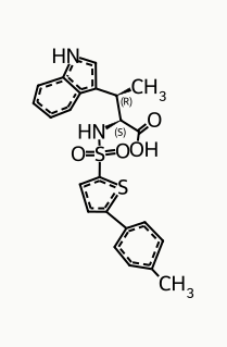 Cc1ccc(-c2ccc(S(=O)(=O)N[C@H](C(=O)O)[C@H](C)c3c[nH]c4ccccc34)s2)cc1